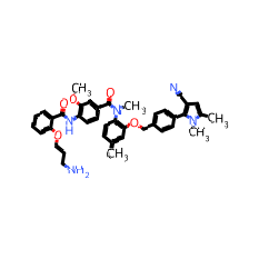 COc1cc(C(=O)N(C)c2ccc(C)cc2OCc2ccc(-c3c(C#N)cc(C)n3C)cc2)ccc1NC(=O)c1ccccc1OCCCN